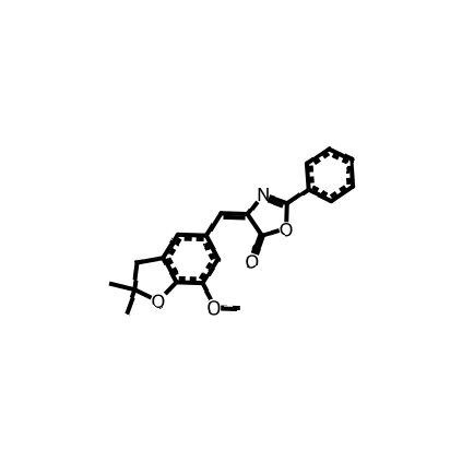 COc1cc(C=C2N=C(c3ccccc3)OC2=O)cc2c1OC(C)(C)C2